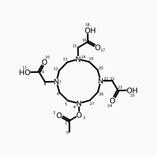 CC(=O)ON1CCN(CC(=O)O)CCN(CC(=O)O)CCN(CC(=O)O)CC1